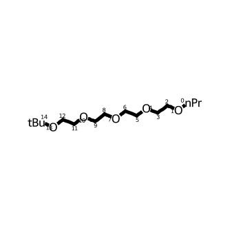 CCCOCCOCCOCCOCCOC(C)(C)C